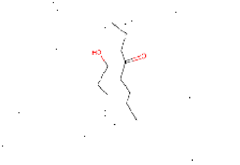 CCCCC(=O)CCC.CCCO